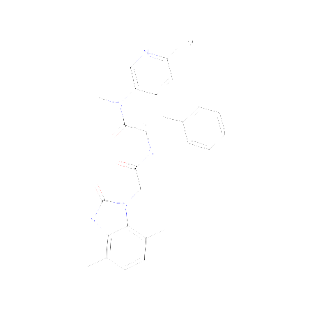 COc1ccc(N(C)C(=O)[C@H](Cc2ccccc2)NC(=O)Cn2c(=O)[nH]c3c(C)ccc(C)c32)cn1